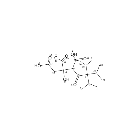 CC(C)C(C(=O)C(C(=O)O)C(O)(CC(=O)O)C(=O)O)(C(C)C)C(C)C